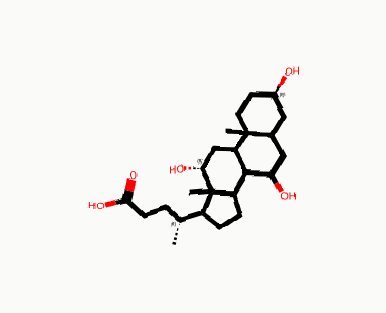 C[C@H](CCC(=O)O)C1CCC2C3C(O)CC4C[C@H](O)CCC4(C)C3C[C@@H](O)C21C